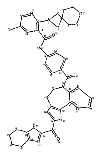 Cc1cnc(N2CC3(CCOCC3)C2)c(C(=O)Nc2ccc(C(=O)N3CCc4cc(C(=O)c5nc6c([nH]5)CCCC6)sc4-c4ncccc43)cc2)c1